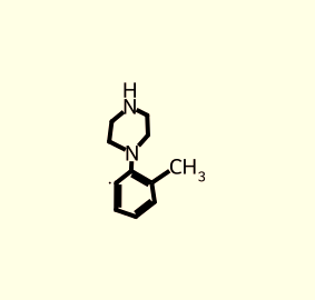 Cc1ccc[c]c1N1CCNCC1